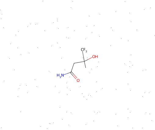 CC(O)(CC(N)=O)C(F)(F)F